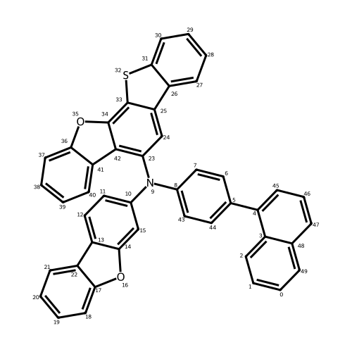 c1ccc2c(-c3ccc(N(c4ccc5c(c4)oc4ccccc45)c4cc5c6ccccc6sc5c5oc6ccccc6c45)cc3)cccc2c1